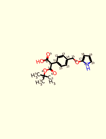 CC(C)(C)OC(=O)C(C(=O)O)c1ccc(COc2ccc[nH]2)cc1